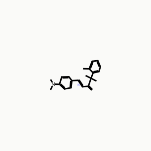 C=C(/C=C/c1ccc(N(C)C)cc1)C(C)(C)c1ccccc1C